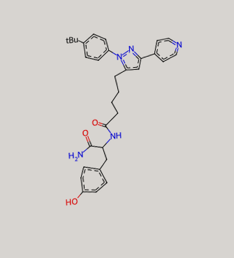 CC(C)(C)c1ccc(-n2nc(-c3ccncc3)cc2CCCCC(=O)NC(Cc2ccc(O)cc2)C(N)=O)cc1